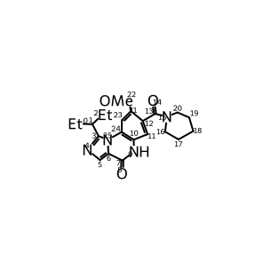 CCC(CC)c1ncc2c(=O)[nH]c3cc(C(=O)N4CCCCC4)c(OC)cc3n12